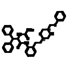 COC(=O)NC(C(=O)Nc1ccccc1CC[C@@H]1CN[C@H](CSc2ccccc2)CO1)C(c1ccccc1)c1ccccc1